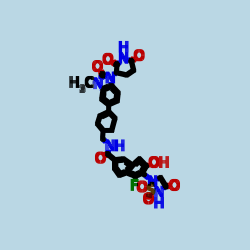 Cn1c(=O)n(C2CCC(=O)NC2=O)c2ccc(C3=CCC(CNC(=O)c4ccc5c(F)c(N6CC(=O)NS6(=O)=O)c(O)cc5c4)CC3)cc21